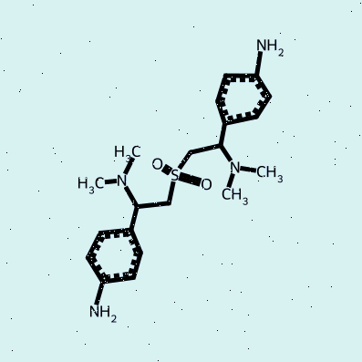 CN(C)C(CS(=O)(=O)CC(c1ccc(N)cc1)N(C)C)c1ccc(N)cc1